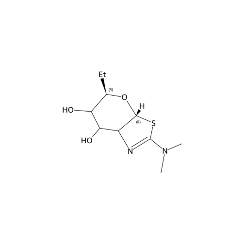 CC[C@H]1O[C@@H]2SC(N(C)C)=NC2C(O)C1O